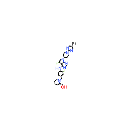 CCc1cnc(N2CCC(n3cc(F)c4c(Nc5ccc(CN6CCCC[C@@H]6CO)cc5F)ncnc43)CC2)nc1